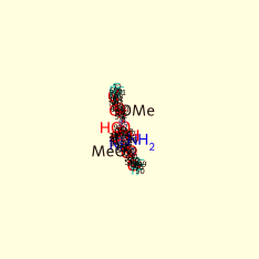 COc1cc(/C=C/C(=O)C(O)C(Cc2ccc(N)cc2)(Cc2ccc(N)cc2)C(O)C(=O)/C=C/c2ccc(OC(=O)c3ccc(OC(F)(F)C(F)F)cc3)c(OC)c2)ccc1OC(=O)c1ccc(OC(F)(F)C(F)F)cc1